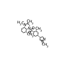 Cc1cc(-c2cnn(C)c2)ccc1S(=O)(=O)N1C[C@H](C)N(C)c2cccc(C)c21